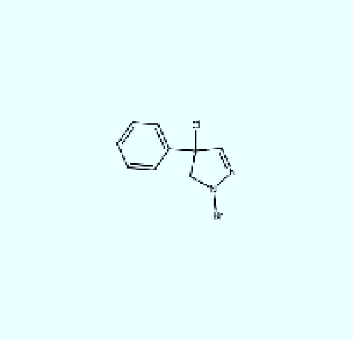 ClC1(c2ccccc2)C=NN(Br)C1